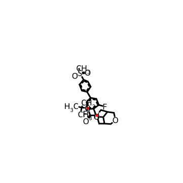 CC(C)(C)OC(=O)N1CC2COCC(C1)C2Oc1c(F)cc(-c2ccc(S(C)(=O)=O)cc2)cc1F